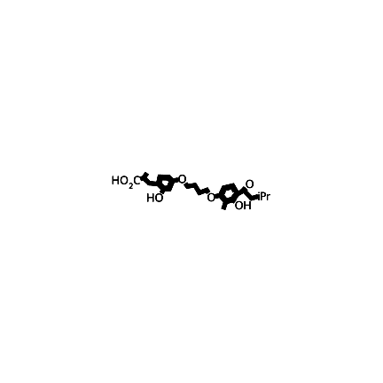 Cc1c(OCCCCOc2ccc(CC(C)C(=O)O)c(O)c2)ccc(C(=O)CC(C)C)c1O